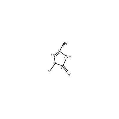 CC(C)C1=NC(C)C(=O)N1